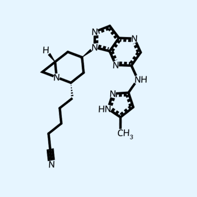 Cc1cc(Nc2cnc3cnn([C@H]4C[C@H](CCCCC#N)N5C[C@@H]5C4)c3n2)n[nH]1